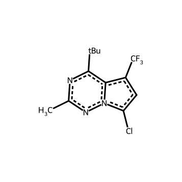 Cc1nc(C(C)(C)C)c2c(C(F)(F)F)cc(Cl)n2n1